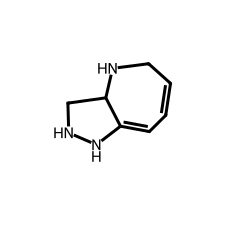 C1=CCNC2CNNC2=C1